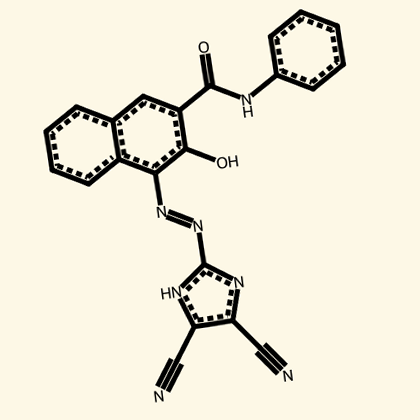 N#Cc1nc(/N=N/c2c(O)c(C(=O)Nc3ccccc3)cc3ccccc23)[nH]c1C#N